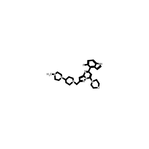 CN1CCN(C2CCN(Cc3cc4nc(-c5c(F)ccc6[nH]ccc56)cc(N5CCOCC5)n4n3)CC2)CC1